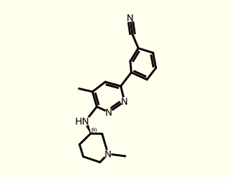 Cc1cc(-c2cccc(C#N)c2)nnc1N[C@@H]1CCCN(C)C1